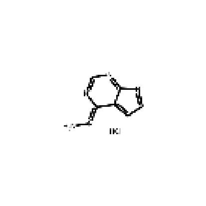 Cl.NN=C1N=CN=C2N=CC=C12